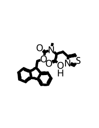 CN(C(=O)OCC1c2ccccc2-c2ccccc21)C(Cc1cscn1)C(=O)O